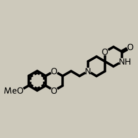 COc1ccc2c(c1)OCC(CCN1CCC3(CC1)CNC(=O)CO3)O2